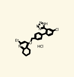 CCc1cc(OCc2ccc(-c3ccc(Cl)cc3-c3nnn[nH]3)cc2)c2c(n1)CCCC2.Cl